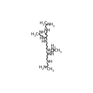 CC(N)CCNCCCC(CNCCCCNCC(CCCNCCC(C)N)NCCC(C)N)NCCC(C)N